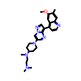 COc1cc2c(-c3cnn4cc(N5CCC(N(C)CCN(C)C)CC5)cnc34)ccnc2cc1C